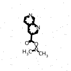 CN(C)OC(=O)c1cnc2cnccc2c1